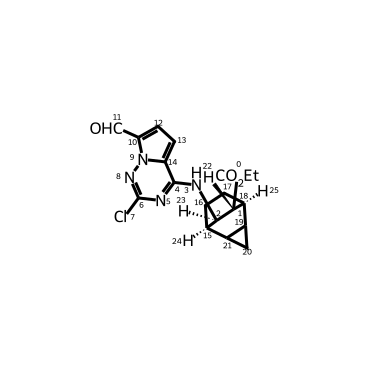 CCOC(=O)[C@H]1[C@H](Nc2nc(Cl)nn3c(C=O)ccc23)[C@@H]2CC[C@H]1C1CC12